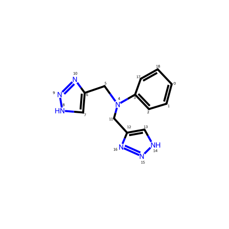 c1ccc(N(Cc2c[nH]nn2)Cc2c[nH]nn2)cc1